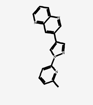 Cc1cccc(-n2cc(-c3cnc4cccnc4c3)cn2)n1